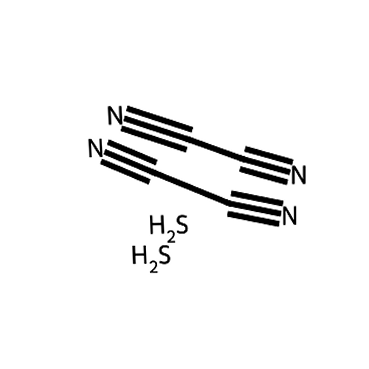 N#CC#N.N#CC#N.S.S